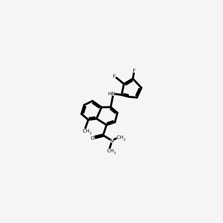 Cc1cccc2c(Nc3cccc(F)c3F)ccc(C(=O)N(C)C)c12